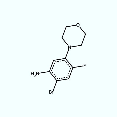 Nc1cc(N2CCOCC2)c(F)cc1Br